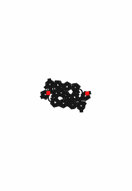 Cc1ccc(N(c2ccc(C)cc2C)c2cc3c(c4c2oc2ccccc24)-c2cc4c(cc2C32c3ccccc3-c3ccccc32)-c2c(cc(N(c3ccc(C)cc3)c3ccc(C)cc3C)c3oc5ccccc5c23)C42c3ccccc3-c3ccccc32)cc1